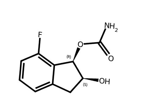 NC(=O)O[C@@H]1c2c(F)cccc2C[C@@H]1O